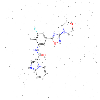 Cc1c(F)cc(-c2nc(N3CCOCC3)no2)cc1NC(=O)c1cnc2ccccn12